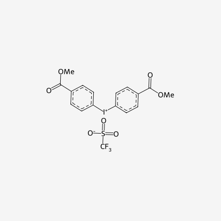 COC(=O)c1ccc([I+]c2ccc(C(=O)OC)cc2)cc1.O=S(=O)([O-])C(F)(F)F